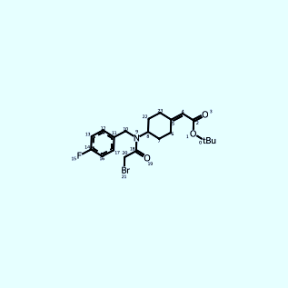 CC(C)(C)OC(=O)C=C1CCC(N(Cc2ccc(F)cc2)C(=O)CBr)CC1